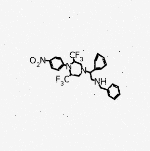 O=[N+]([O-])c1ccc(N2C(C(F)(F)F)CN(C(CNCc3ccccc3)c3ccccc3)CC2C(F)(F)F)cc1